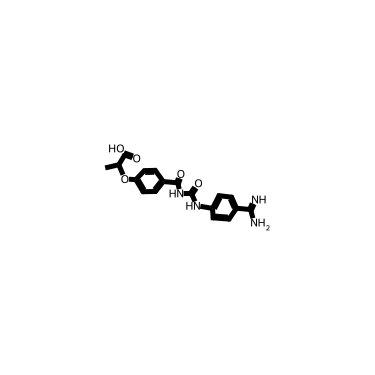 CC(Oc1ccc(C(=O)NC(=O)Nc2ccc(C(=N)N)cc2)cc1)C(=O)O